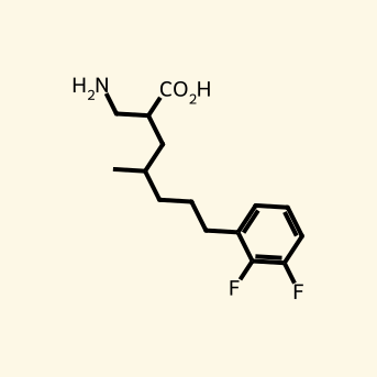 CC(CCCc1cccc(F)c1F)CC(CN)C(=O)O